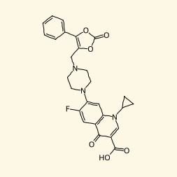 O=C(O)c1cn(C2CC2)c2cc(N3CCN(Cc4oc(=O)oc4-c4ccccc4)CC3)c(F)cc2c1=O